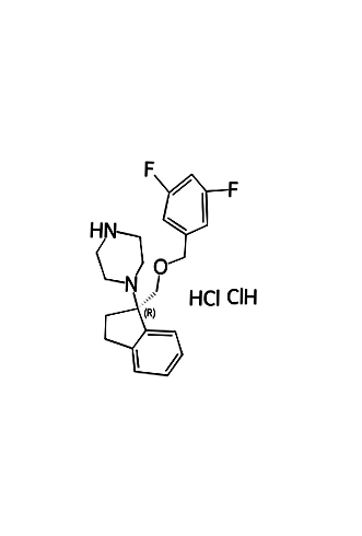 Cl.Cl.Fc1cc(F)cc(COC[C@@]2(N3CCNCC3)CCc3ccccc32)c1